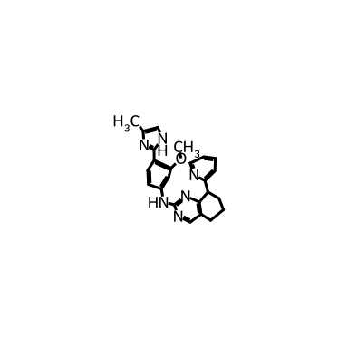 COc1cc(Nc2ncc3c(n2)C(c2ccccn2)CCC3)ccc1-c1nc(C)c[nH]1